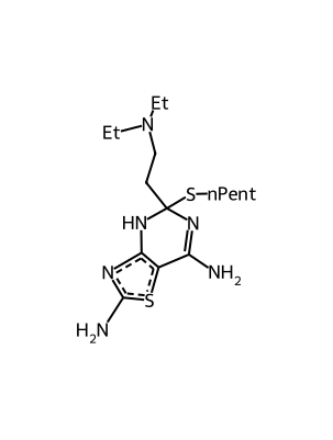 CCCCCSC1(CCN(CC)CC)N=C(N)c2sc(N)nc2N1